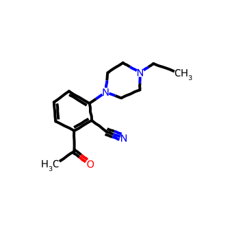 CCN1CCN(c2cccc(C(C)=O)c2C#N)CC1